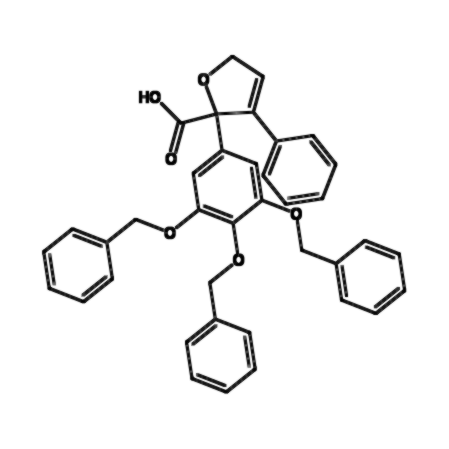 O=C(O)C1(c2cc(OCc3ccccc3)c(OCc3ccccc3)c(OCc3ccccc3)c2)OCC=C1c1ccccc1